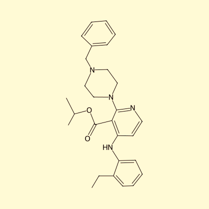 CCc1ccccc1Nc1ccnc(N2CCN(Cc3ccccc3)CC2)c1C(=O)OC(C)C